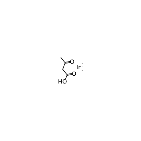 CC(=O)CC(=O)O.[In]